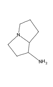 NC1CCN2CCCC12